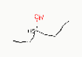 CC[SiH](O)CC